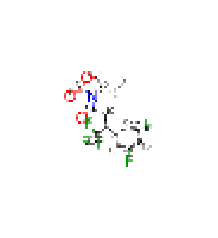 CC[C@H]1COC(=O)N1C(=O)C[C@@H](c1cc(F)cc(F)c1)C(F)(F)F